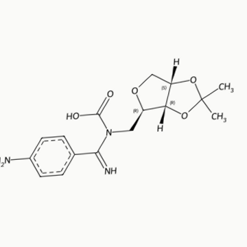 CC1(C)O[C@H]2[C@H](CO[C@@H]2CN(C(=N)c2ccc(N)cc2)C(=O)O)O1